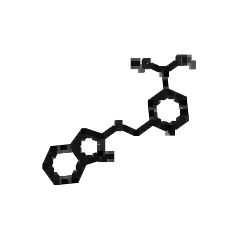 CN(C)c1ccnc(CSc2cc3ccccc3[nH]2)c1